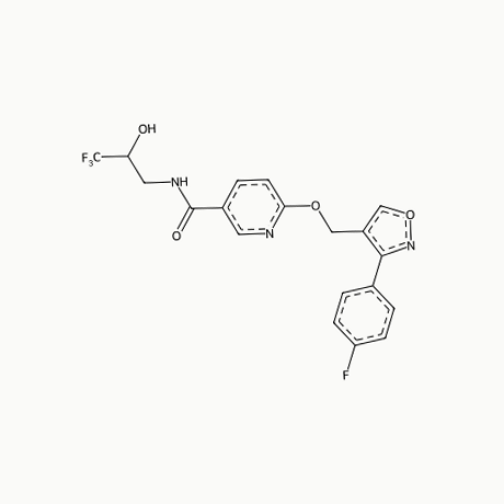 O=C(NCC(O)C(F)(F)F)c1ccc(OCc2conc2-c2ccc(F)cc2)nc1